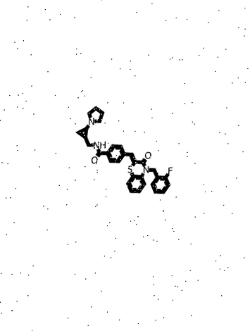 O=C(NCC1CC1N1CCCC1)c1ccc(C=C2Sc3ccccc3N(Cc3ccccc3F)C2=O)cc1